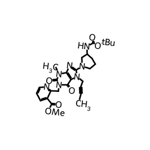 CC#CCn1c(N2CCCC(NC(=O)OC(C)(C)C)C2)nc2c1c(=O)n(Cc1ncccc1C(=O)OC)c(=O)n2C